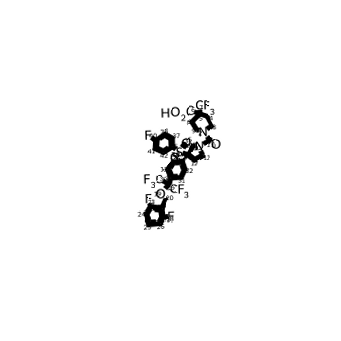 O=C(N1CCC(C(=O)O)(C(F)(F)F)CC1)N1CC[C@](c2ccc(C(OCc3c(F)cccc3F)(C(F)(F)F)C(F)(F)F)cc2)(S(=O)(=O)c2ccc(F)cc2)C1